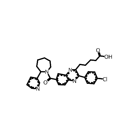 O=C(O)CCCCc1nc2cc(C(=O)N3CCCCCC3c3cccnc3)ccc2nc1-c1ccc(Cl)cc1